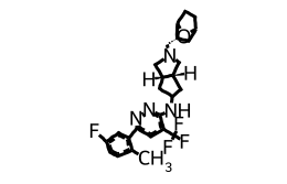 Cc1ccc(F)cc1-c1cc(C(F)(F)F)c(NC2C[C@@H]3CN(C[C@H]4CC5CCC4O5)C[C@@H]3C2)nn1